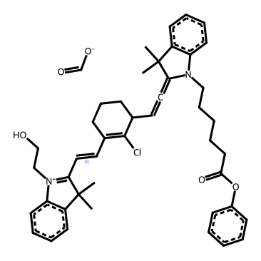 CC1(C)C(=C=CC2CCCC(/C=C/C3=[N+](CCO)c4ccccc4C3(C)C)=C2Cl)N(CCCCCC(=O)Oc2ccccc2)c2ccccc21.O=C[O-]